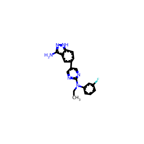 CCN(c1cccc(F)c1)c1ncc(-c2ccc3[nH]nc(N)c3c2)cn1